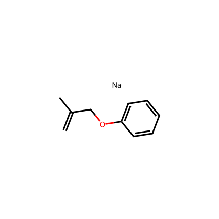 C=C(C)COc1ccccc1.[Na]